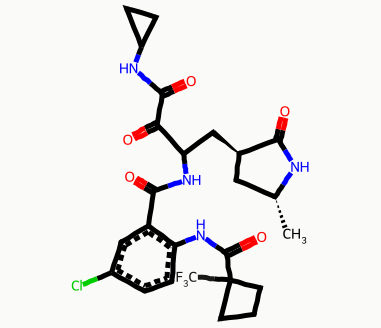 C[C@@H]1C[C@@H](CC(NC(=O)c2cc(Cl)ccc2NC(=O)C2(C(F)(F)F)CCC2)C(=O)C(=O)NC2CC2)C(=O)N1